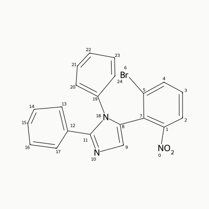 O=[N+]([O-])c1cccc(Br)c1-c1cnc(-c2ccccc2)n1-c1ccccc1